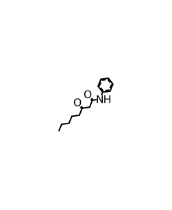 CCCCCC(=O)CC(=O)Nc1ccccc1